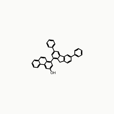 Oc1cc(-c2cc(-c3ccccc3)cc3c2Cc2ccc(-c4ccccc4)cc2-3)c2ccc3ccccc3c2c1